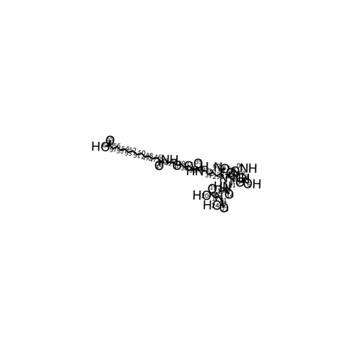 CN[C@@H](CC(=O)O)C(=O)N[C@@H](CNC(=O)CN(CC(=O)O)CC(=O)O)C(=O)N[C@@H](CCCCNC(=O)COCCOCCNC(=O)CCCCCCCCCCCCC(=O)O)C(N)=O